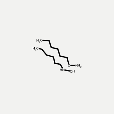 CCCCCCNO.CCCCCCON